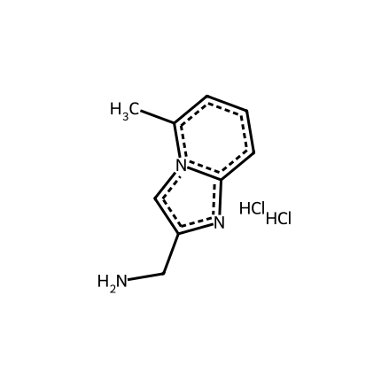 Cc1cccc2nc(CN)cn12.Cl.Cl